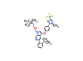 CC(C)c1ccccc1-c1cc2c(Oc3ccc(-c4nc(C(F)(F)F)cn4C)cc3)cn(COCC[Si](C)(C)C)c2cn1